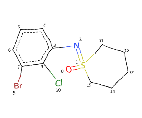 O=S1(=Nc2cccc(Br)c2Cl)CCCCC1